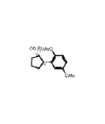 CCOC(=O)[C@H]1CCC[C@H]1c1cc(OC)ccc1OC